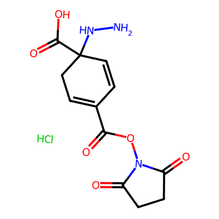 Cl.NNC1(C(=O)O)C=CC(C(=O)ON2C(=O)CCC2=O)=CC1